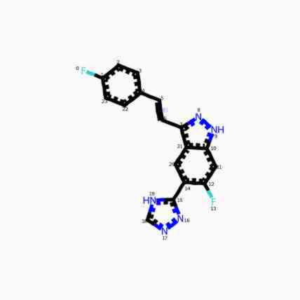 Fc1ccc(/C=C/c2n[nH]c3cc(F)c(-c4nnc[nH]4)cc23)cc1